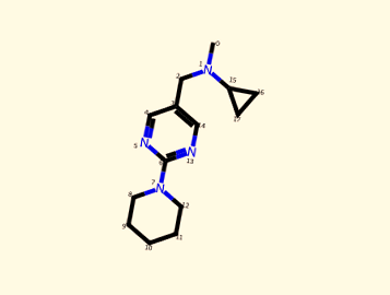 CN(Cc1cnc(N2CCCCC2)nc1)C1CC1